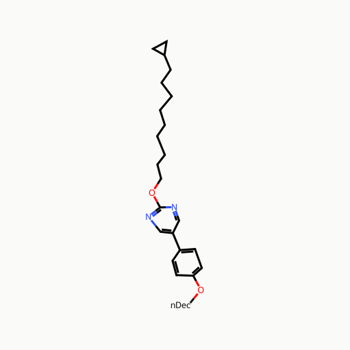 CCCCCCCCCCOc1ccc(-c2cnc(OCCCCCCCCCC3CC3)nc2)cc1